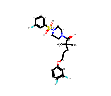 CC(C)(CCCOc1ccc(F)c(F)c1)C(=O)N1CCN(S(=O)(=O)c2cccc(F)c2)CC1